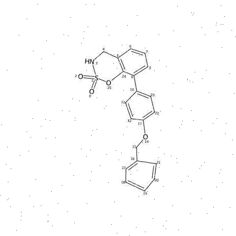 O=S1(=O)NCc2cccc(-c3ccc(OCc4ccccc4)cc3)c2O1